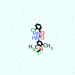 Cc1cc(NC(=O)NC(=O)c2ccccc2Cl)cc(C)c1OC(F)(F)C(F)F